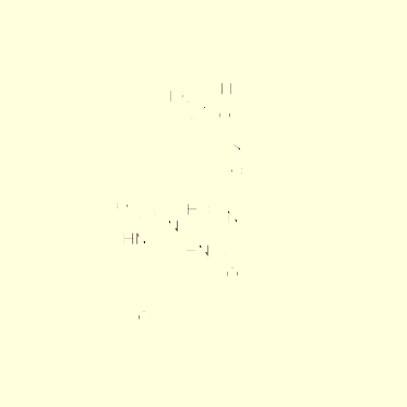 Cn1c(C(=O)Nc2ccc(Cl)cc2-c2noc(=O)[nH]2)cc2cccc(OC[C@H]3COC(C)(C)O3)c21